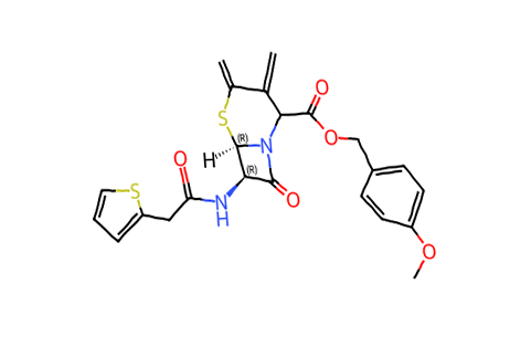 C=C1S[C@@H]2[C@H](NC(=O)Cc3cccs3)C(=O)N2C(C(=O)OCc2ccc(OC)cc2)C1=C